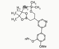 CCCOc1cc(-c2cncc(C(CO[Si](C)(C)C(C)(C)C)CB3OC(C)(C)C(C)(C)O3)c2)ccc1OC